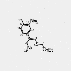 C=NC/C(=C\SCOCC)c1ccc(C)c(N=C)c1